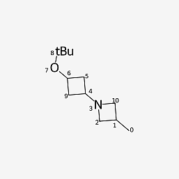 CC1CN(C2CC(OC(C)(C)C)C2)C1